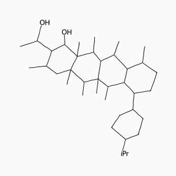 CC(C)C1CCC(C2CCC(C)C3C(C)C4C(C)C5(C)C(O)C(C(C)O)C(C)CC5(C)C(C)C4(C)C(C)C23)CC1